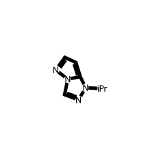 CC(C)n1ncn2nccc12